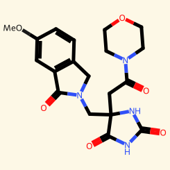 COc1ccc2c(c1)C(=O)N(CC1(CC(=O)N3CCOCC3)NC(=O)NC1=O)C2